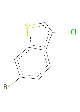 Clc1csc2cc(Br)ccc12